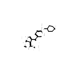 CNc1ncnc2[nH]cc(C(=O)c3cnc(NC4CCC(F)(F)CC4)c(F)c3)c12